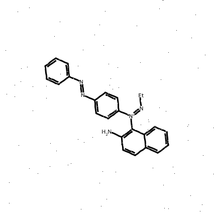 CCN=[N+](c1ccc(N=Nc2ccccc2)cc1)c1c(N)ccc2ccccc12